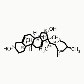 CC1CC[C@@H]([C@@H](C)[C@@]2(C)C3=CC[C@H]4[C@@H](CC=C5C[C@@H](O)CC[C@@]54C)[C@@H]3C[C@@H]2O)NC1